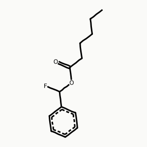 CCCCCC(=O)OC(F)c1ccccc1